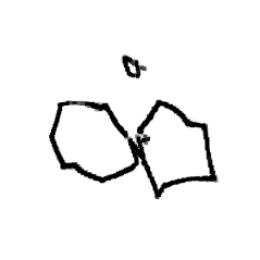 C1CC[N+]2(C1)CCCC2.[Cl-]